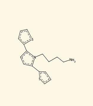 NCCCCn1c(-c2cccs2)ccc1-c1cccs1